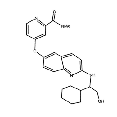 CNC(=O)c1cc(Oc2ccc3nc(NC(CO)C4CCCCC4)ccc3c2)ccn1